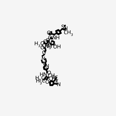 Cc1ncsc1-c1ccc(C(NC(=O)[C@@H]2C[C@@H](O)CN2C(=O)[C@@H](NC(=O)COCCN2CCN(c3ccc(C(=O)N[C@H]4C(C)(C)[C@H](Oc5ccc(C#N)c(C(F)(F)F)c5)C4(C)C)cn3)CC2)C(C)(C)C)C2COC2)cc1